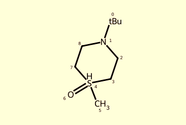 CC(C)(C)N1CC[SH](C)(=O)CC1